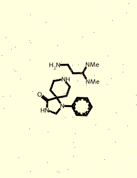 CNC(CCN)NC.O=C1NCN(c2ccccc2)C12CCNCC2